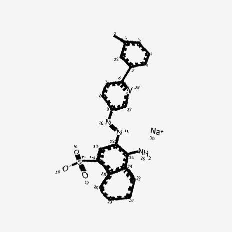 Cc1cccc(-c2ccc(N=Nc3cc(S(=O)(=O)[O-])c4ccccc4c3N)cn2)c1.[Na+]